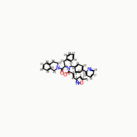 Cc1cc(C=CC(=O)N(Cc2ccc(-c3ccccn3)cc2)C(Cc2ccccc2)C(=O)N2CCc3ccccc3C2)no1